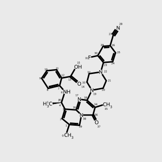 Cc1cc([C@@H](C)Nc2ccccc2C(=O)O)c2nc(N3CCN(c4ccc(C#N)cc4F)CC3)c(C)c(=O)n2c1